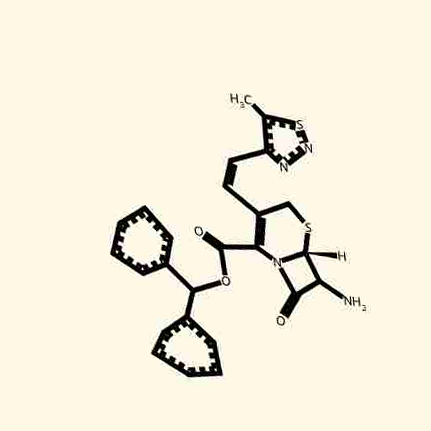 Cc1snnc1/C=C\C1=C(C(=O)OC(c2ccccc2)c2ccccc2)N2C(=O)C(N)[C@H]2SC1